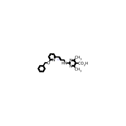 Cc1nc(NC/C=C/c2cccc(OCc3ccccc3)n2)nc(C)c1C(=O)O